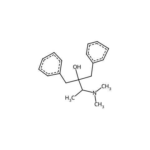 CC(N(C)C)C(O)(Cc1ccccc1)Cc1ccccc1